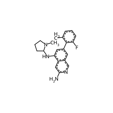 Cc1cccc(F)c1-c1cc(NC2CCCN2C)c2cc(N)ncc2c1